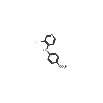 O=C(O)c1ccc(Nc2ccncc2C(F)(F)F)cc1